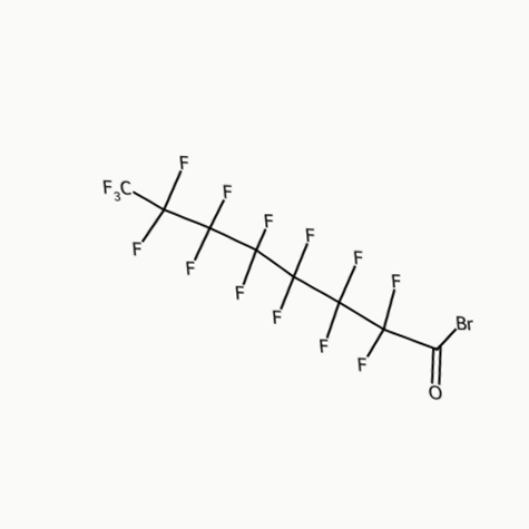 O=C(Br)C(F)(F)C(F)(F)C(F)(F)C(F)(F)C(F)(F)C(F)(F)C(F)(F)F